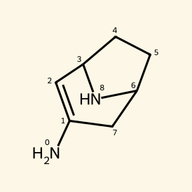 NC1=CC2CCC(C1)N2